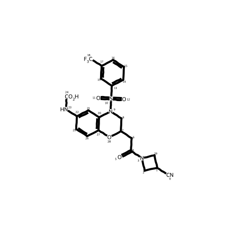 N#CC1CN(C(=O)CC2CN(S(=O)(=O)c3cccc(C(F)(F)F)c3)c3cc(NC(=O)O)ccc3O2)C1